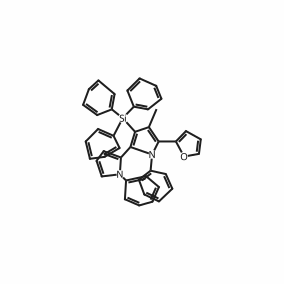 Cc1c([Si](c2ccccc2)(c2ccccc2)c2ccccc2)c(-c2cccn2-c2ccccc2)n(-c2ccccc2)c1-c1ccco1